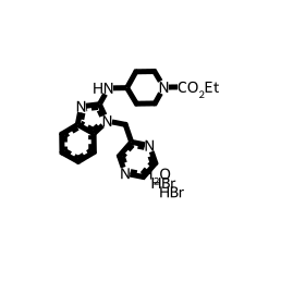 Br.Br.CCOC(=O)N1CCC(Nc2nc3ccccc3n2Cc2cnccn2)CC1.O